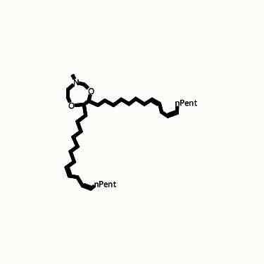 CCCCC/C=C\C/C=C\CCCCCCCC1OCCN(C)COC1CCCCCCC/C=C\C/C=C\CCCCC